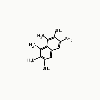 Bc1cc2cc(B)c(B)c(N)c2c(B)c1B